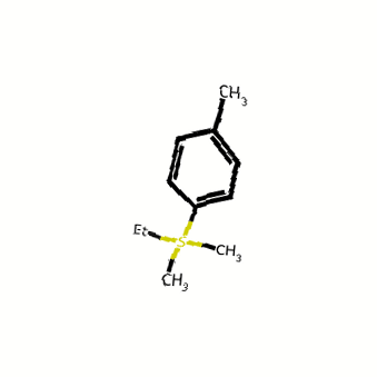 CCS(C)(C)c1ccc(C)cc1